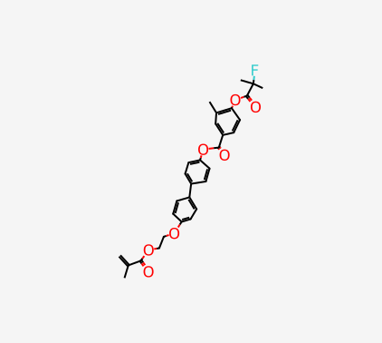 C=C(C)C(=O)OCCOc1ccc(-c2ccc(OC(=O)c3ccc(OC(=O)C(C)(C)F)c(C)c3)cc2)cc1